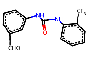 O=Cc1cccc(NC(=O)Nc2ccccc2C(F)(F)F)c1